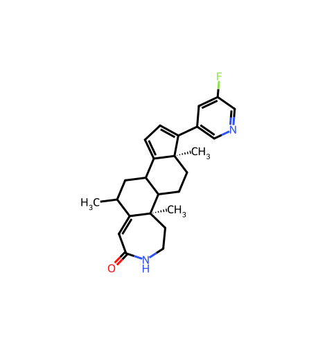 CC1CC2C3=CC=C(c4cncc(F)c4)[C@@]3(C)CCC2[C@@]2(C)CCNC(=O)C=C12